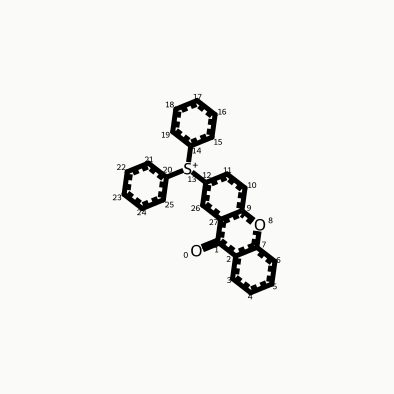 O=c1c2ccccc2oc2ccc([S+](c3ccccc3)c3ccccc3)cc12